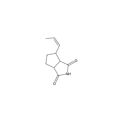 C/C=C\C1CCC2C(=O)NC(=O)C12